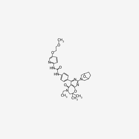 CCN1CC(C)(C)Oc2nc(N3CC4CCC(C3)O4)nc(-c3ccc(NC(=O)Nc4ccc(OCCOC)cn4)cc3)c2C1=O